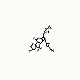 N#CC1CC(n2cc(CNSC3CC3)c3cc(F)c(-c4ccc(F)cc4C(F)(F)F)cc32)C1